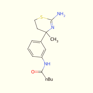 CCCCC(=O)Nc1cccc(C2(C)CCSC(N)=N2)c1